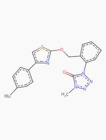 Cn1nnn(-c2ccccc2COc2nc(-c3ccc(C(C)(C)C)cc3)cs2)c1=O